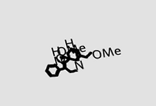 COCCC1C[C@@H]2CN3CCc4c([nH]c5ccccc45)C(C(=O)OC)(C2)C13